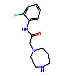 O=C(CN1CCCNCC1)Nc1ccccc1F